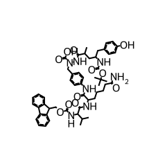 CC(CC(Cc1ccc(O)cc1)NC(=O)OC(C)(C)C)C(=O)NN(Cc1ccc(NC(=O)C(CCCCC(N)=O)NC(=O)C(NC(=O)OCC2c3ccccc3-c3ccccc32)C(C)C)cc1)C(=O)O